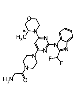 C[C@H]1COCCN1c1cc(N2CCN(C(=O)CN)CC2)nc(-n2c(C(F)F)nc3ccccc32)n1